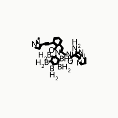 Bc1c(B)c(B)c(-n2c([C@@H](C)NC(=O)c3c(N)nn4cccnc34)cc3cccc(C#Cc4ccnn4C)c3c2=O)c(B)c1B